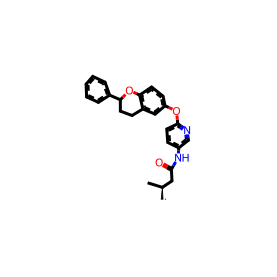 [CH2][C@@H](C)CC(=O)Nc1ccc(Oc2ccc3c(c2)CCC(c2ccccc2)O3)nc1